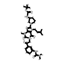 CC(C)=CCn1c(N2CCCC(NC(=O)OC(C)(C)C)C2)nc2c1c(=O)n(CC(=O)c1cccc(NC(=O)N(C)C)c1)c(=O)n2C